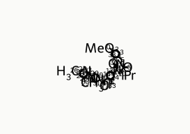 COc1ccc(CN2C(=O)C(C(C)C)N(c3ccc(C(=O)N4CCN(c5ncc(C)cc5C)CC4)c(F)c3)C2=O)cc1